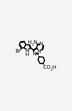 Nc1nccn2c1c(C1=CC3C=CC=C(Br)C3N1)nc2[C@H]1CC[C@H](C(=O)O)CC1